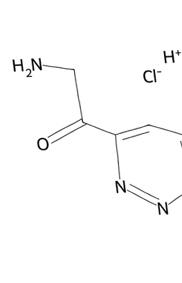 NCC(=O)c1cccnn1.[Cl-].[H+]